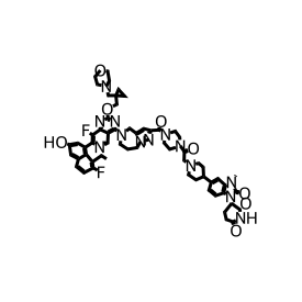 CCc1c(F)ccc2cc(O)cc(-c3ncc4c(N5CCCn6nc(C(=O)N7CCN(C(=O)CN8CCC(c9ccc%10c(c9)n(C)c(=O)n%10C9CCC(=O)NC9=O)CC8)CC7)cc6C5)nc(OCC5(CN6CCOCC6)CC5)nc4c3F)c12